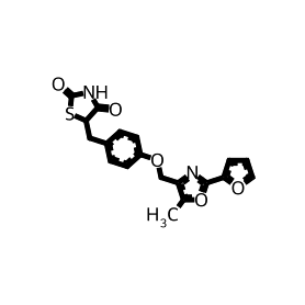 Cc1oc(-c2ccco2)nc1COc1ccc(CC2SC(=O)NC2=O)cc1